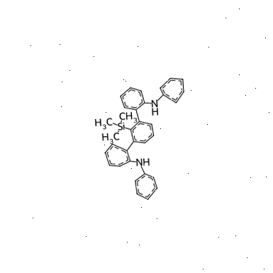 C[Si](C)(C)c1c(-c2ccccc2Nc2ccccc2)cccc1-c1ccccc1Nc1ccccc1